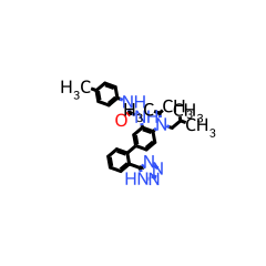 Cc1ccc(NC(=O)Nc2cc(-c3ccccc3-c3nnn[nH]3)ccc2N(CC(C)C)C(C)C)cc1